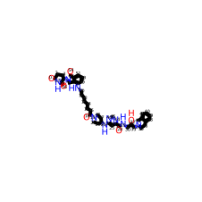 O=C1CCC(N2Cc3c(NCCCCCCCC(=O)N4CCC(Nc5cc(C(=O)NC[C@H](O)CN6CCc7ccccc7C6)ncn5)CC4)cccc3C2=O)C(=O)N1